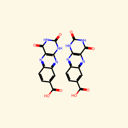 O=C(O)c1ccc2nc3[nH]c(=O)[nH]c(=O)c3nc2c1.O=C(O)c1ccc2nc3c(=O)[nH]c(=O)[nH]c3nc2c1